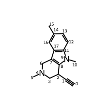 C#CC1CN(C)Cc2c1n(C)c1ccc(C)cc21